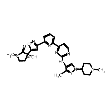 Cc1nn(C2CCN(C)CC2)cc1Nc1nccc(-c2cccc(-c3cc([C@]4(O)CCN(C)C4=O)on3)n2)n1